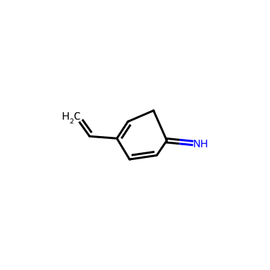 C=CC1=CCC(=N)C=C1